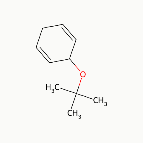 CC(C)(C)OC1C=CCC=C1